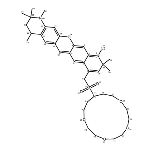 CC[N+]1=c2cc3c(cc2C(CS(=O)(=O)N2CCOCCOCCOCCOCC2)=CC1(C)C)=Nc1cc2c(cc1O3)N(C)C(C)(C)CC2C